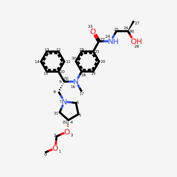 COCO[C@H]1CCN(C[C@H](c2ccccc2)N(C)c2ccc(C(=O)NC[C@@H](C)O)cc2)C1